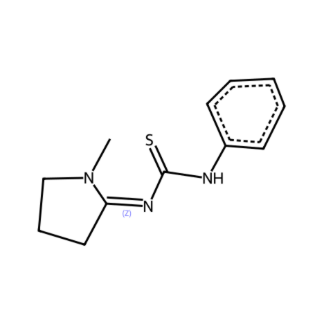 CN1CCC/C1=N/C(=S)Nc1ccccc1